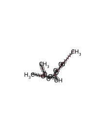 CCCCCCCCCCCCOC(=O)CCCCCC(=O)OCc1cc(CO)cc(COC(=O)CCC(OCCCCCCCC)OCCCCCCCC)c1